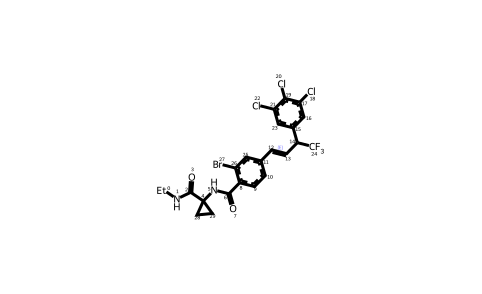 CCNC(=O)C1(NC(=O)c2ccc(/C=C/C(c3cc(Cl)c(Cl)c(Cl)c3)C(F)(F)F)cc2Br)CC1